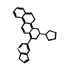 [C]1=CCc2ncc(C3=c4ccc5c(c4CC(C4CCCC4)C3)CC=c3ccccc3=5)cc21